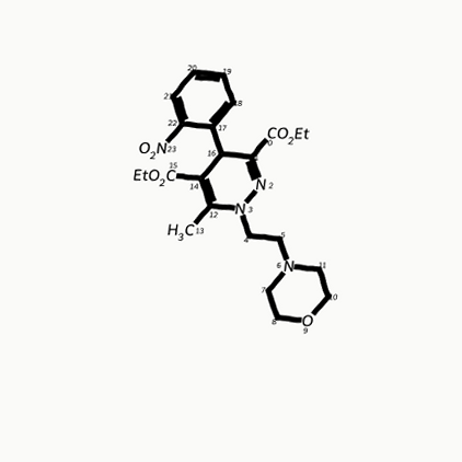 CCOC(=O)C1=NN(CCN2CCOCC2)C(C)=C(C(=O)OCC)C1c1ccccc1[N+](=O)[O-]